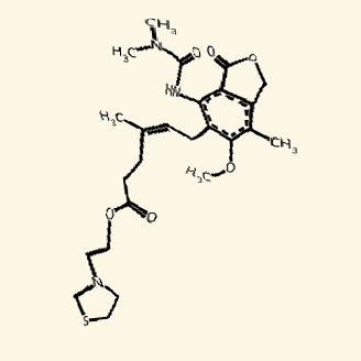 COc1c(C)c2c(c(NC(=O)N(C)C)c1CC=C(C)CCC(=O)OCCN1CCSC1)C(=O)OC2